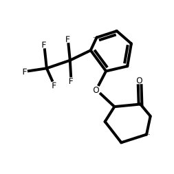 O=C1C[CH]CCC1Oc1ccc[c]c1C(F)(F)C(F)(F)F